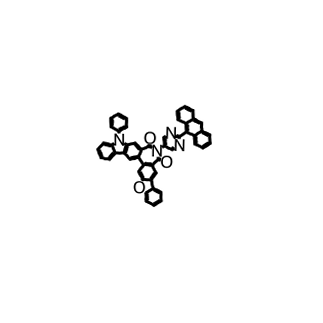 O=c1c2cc3c(cc2c2cc4c5ccccc5n(-c5ccccc5)c4cc2c(=O)n1-c1cnc(-c2c4ccccc4cc4ccccc24)nc1)oc1ccccc13